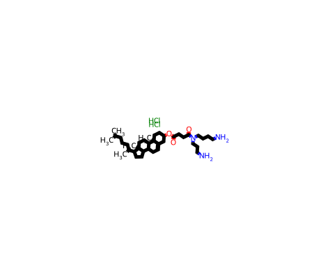 CC(C)CCCC(C)C1CCC2C3CC=C4CC(OC(=O)CCC(=O)N(CCCN)CCCCN)CCC4(C)C3CCC12C.Cl.Cl